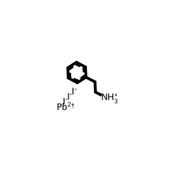 [I-].[I-].[I-].[NH3+]CCc1ccccc1.[Pb+2]